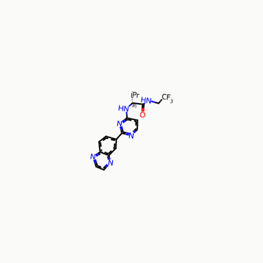 CC(C)[C@@H](Nc1ccnc(-c2ccc3nccnc3c2)n1)C(=O)NCC(F)(F)F